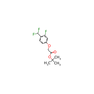 CC(C)(C)OC(=O)COc1ccc(C(F)F)c(F)c1